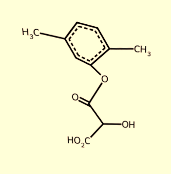 Cc1ccc(C)c(OC(=O)C(O)C(=O)O)c1